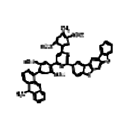 CCCCCCCCc1cc(-c2cc(-c3cc(CCCCCCCC)c(-c4cccc5c(C)c6ccccc6cc45)cc3CCCCCCCC)nc(-c3ccc4sc5cc6oc7ccccc7c6cc5c4c3)n2)c(CCCCCCCC)cc1C